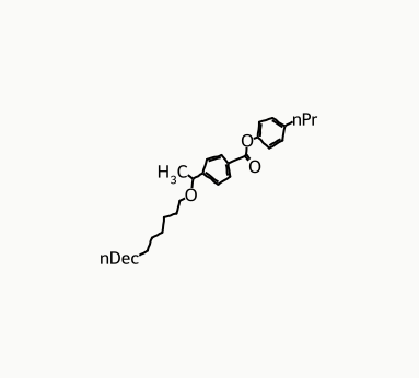 CCCCCCCCCCCCCCCCOC(C)c1ccc(C(=O)Oc2ccc(CCC)cc2)cc1